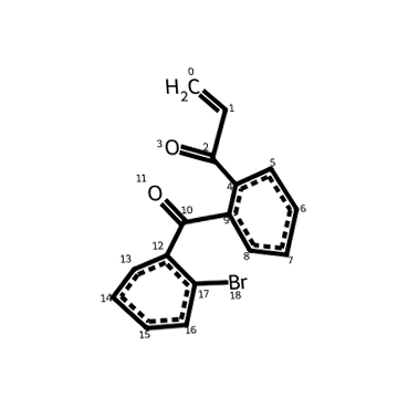 C=CC(=O)c1ccccc1C(=O)c1ccccc1Br